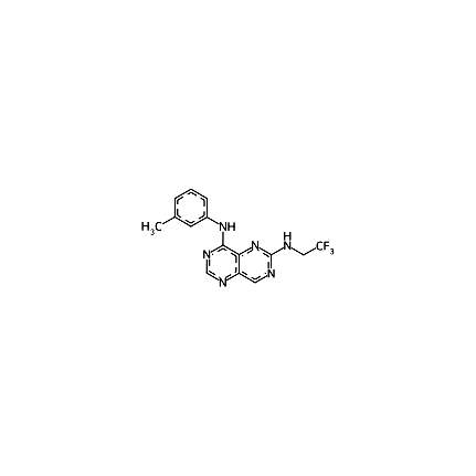 Cc1cccc(Nc2ncnc3cnc(NCC(F)(F)F)nc23)c1